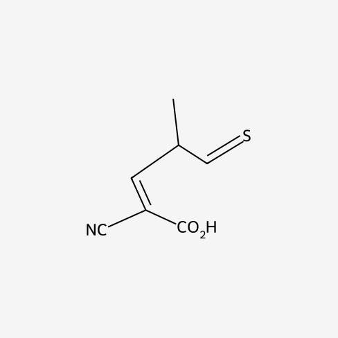 CC(C=S)C=C(C#N)C(=O)O